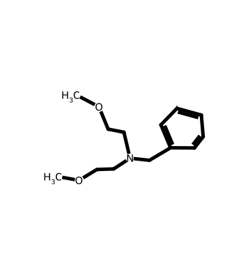 COCCN(CCOC)Cc1c[c]ccc1